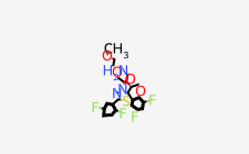 COCCOCC(=O)N1N=C(c2cc(F)ccc2F)S[C@]12c1cc(F)cc(F)c1OC[C@@H]2CCN